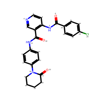 O=C(Nc1ccncc1C(=O)Nc1ccc(N2CCCCC2=O)cc1)c1ccc(Cl)cc1